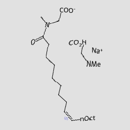 CCCCCCCC/C=C\CCCCCCCC(=O)N(C)CC(=O)[O-].CNCC(=O)O.[Na+]